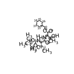 CC[C@H](C)[C@H](NC(=O)OC(C)(C)C)C(=O)N[C@H](C(=O)OCc1ccccc1)[C@H](C)O